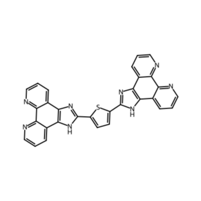 c1cnc2c(c1)c1nc(-c3ccc(-c4nc5c6cccnc6c6ncccc6c5[nH]4)s3)[nH]c1c1cccnc12